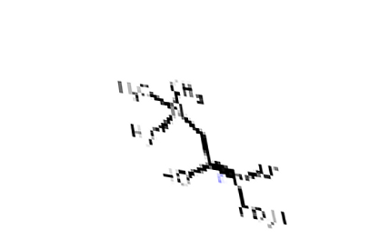 C[N+](C)(C)C/C(O)=[P+](\[O-])C(=O)O